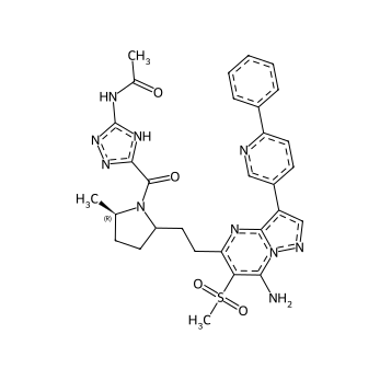 CC(=O)Nc1nnc(C(=O)N2C(CCc3nc4c(-c5ccc(-c6ccccc6)nc5)cnn4c(N)c3S(C)(=O)=O)CC[C@H]2C)[nH]1